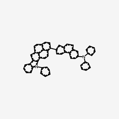 c1ccc(N(c2ccccc2)c2ccc3c(ccc4cc(-c5ccc6ccc7cc8c9ccccc9n(-c9ccccc9)c8c8ccc5c6c78)ccc43)c2)cc1